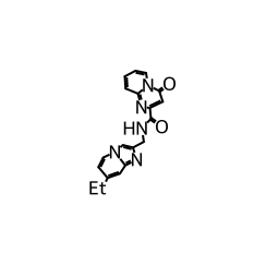 CCc1ccn2cc(CNC(=O)c3cc(=O)n4ccccc4n3)nc2c1